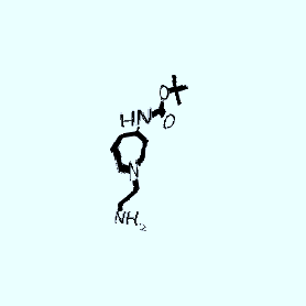 CC(C)(C)OC(=O)N[C@H]1CCCN(CCN)CC1